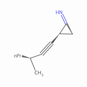 CCC[C@H](C)C#C[C@@H]1CC1=N